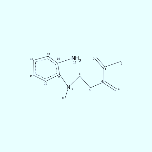 C=C(C)C(=C)CCN(C)c1ccccc1N